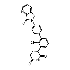 O=C1CCC(c2cccc(-c3ccc(N4Cc5cccnc5C4=O)cc3)c2Cl)C(=O)N1